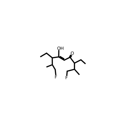 CCC(C(=O)/C=C(\O)C(CC)C(C)CF)C(C)CF